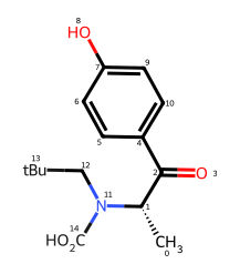 C[C@@H](C(=O)c1ccc(O)cc1)N(CC(C)(C)C)C(=O)O